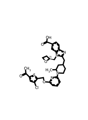 CC(=O)c1cc(Cl)c(COc2cccc(N3CCC(Cc4nc5ccc(C(=O)O)cc5n4C[C@@H]4CCO4)CC3C)n2)s1